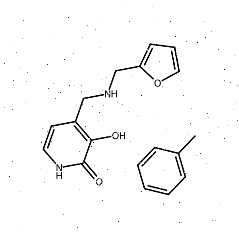 Cc1ccccc1.O=c1[nH]ccc(CNCc2ccco2)c1O